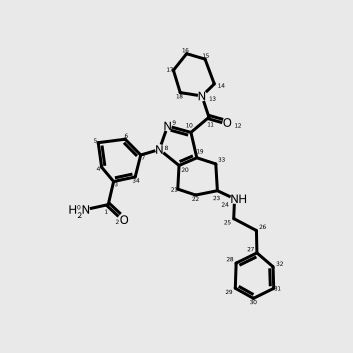 NC(=O)c1cccc(-n2nc(C(=O)N3CCCCC3)c3c2CCC(NCCc2ccccc2)C3)c1